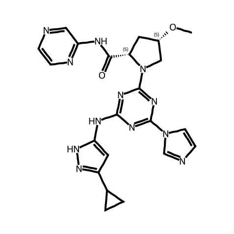 CO[C@H]1C[C@@H](C(=O)Nc2cnccn2)N(c2nc(Nc3cc(C4CC4)n[nH]3)nc(-n3ccnc3)n2)C1